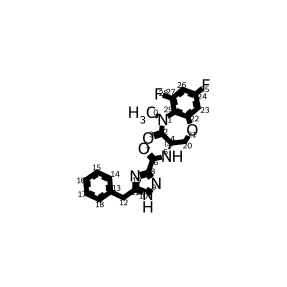 CN1C(=O)[C@@H](NC(=O)c2n[nH]c(Cc3ccccc3)n2)COc2cc(F)cc(F)c21